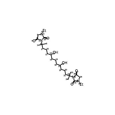 CCN1CC(=O)N(C(C)(C)CCCC(O)CCCC(O)CCCC(C)(C)N2C(=O)CN(CC)C2=O)C1=O